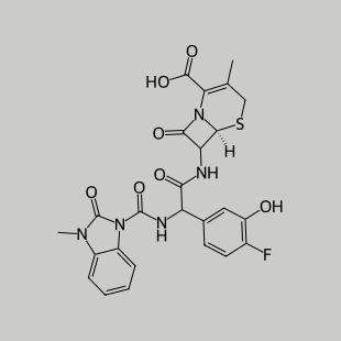 CC1=C(C(=O)O)N2C(=O)C(NC(=O)C(NC(=O)n3c(=O)n(C)c4ccccc43)c3ccc(F)c(O)c3)[C@@H]2SC1